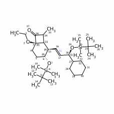 CCO[C@]12CC[C@@H](O[Si](C)(C)C(C)(C)C)[C@H](/C=C/[C@@H](O[Si](C)(C)C(C)(C)C)C3CCCCC3)C1C(C)C2=O